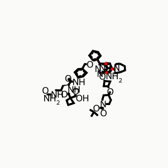 CC(C)(C)OC(=O)N1CCC(OC2CC(Oc3cc(N4C5CCC4CN(c4cc(-c6ccccc6OCc6ccc(NC(=O)[C@H](CCCNC(N)=O)NC(=O)C7(C(=O)O)CCC7)cc6)nnc4N)C5)ccn3)C2)CC1